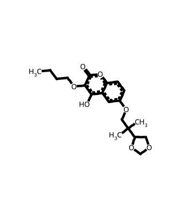 CCCCOc1c(O)c2cc(OCC(C)(C)C3COCO3)ccc2oc1=O